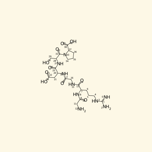 N=C(N)NCCCC(NC(=O)CN)C(=O)NCC(=O)NC(CC(=O)O)C(=O)NC(CO)C(=O)N1CCCC1C(=O)O